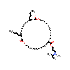 CCCCC1CCCCCCC(CCCC)CC(=O)OCCCCCCCCCCC(C(=O)OCCCN(C)C(C)C)CCCCCCCCCCOC(=O)C1